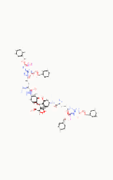 N[C@@H](CCCN/C(=N/C(=O)OCc1ccccc1)NC(=O)OCc1ccccc1)C(=O)Nc1ccc2c(c1)Oc1cc(NC(=O)[C@@H](N)CCCN/C(=N/C(=O)OCc3ccccc3)NC(=O)OCc3ccccc3)ccc1C21OC(=O)c2ccccc21